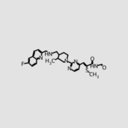 CS/C(=C\c1ccnc(N2CCC(CNCc3ccc4cc(F)ccc4n3)C(C)C2)n1)C(=O)NC=O